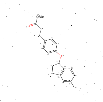 COC(=O)CCc1ccc(OC2CCc3cc(C)ccc32)cc1